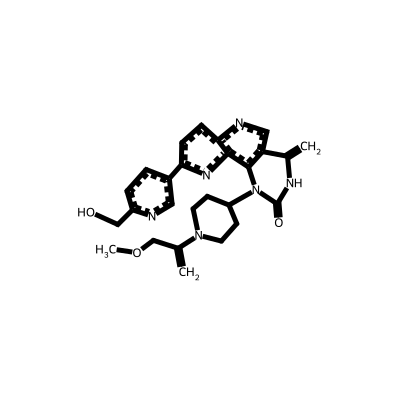 C=C1NC(=O)N(C2CCN(C(=C)COC)CC2)c2c1cnc1ccc(-c3ccc(CO)nc3)nc21